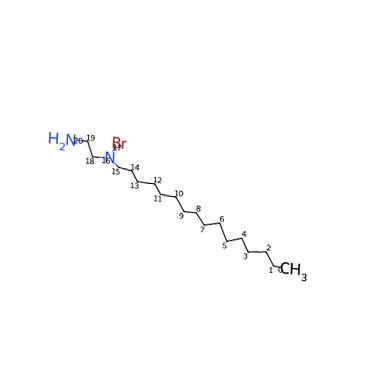 CCCCCCCCCCCCCCCCN(Br)CCN